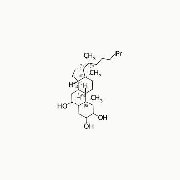 CC(C)CCC[C@@H](C)[C@H]1CC[C@H]2[C@@H]3CC(O)C4CC(O)C(O)C[C@]4(C)[C@H]3CC[C@]12C